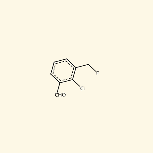 O=Cc1cccc(CF)c1Cl